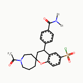 CCN(CC)C(=O)c1ccc(C2CC3(CCCN(C(=O)C(F)(F)F)CC3)Oc3ccc(S(=O)(=O)Cl)cc32)cc1